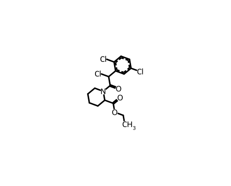 CCOC(=O)C1CCCCN1C(=O)C(Cl)c1cc(Cl)ccc1Cl